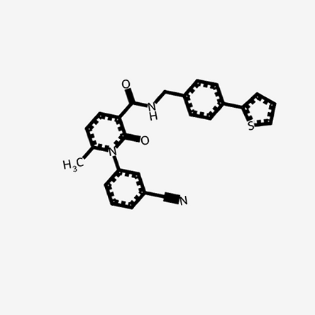 Cc1ccc(C(=O)NCc2ccc(-c3cccs3)cc2)c(=O)n1-c1cccc(C#N)c1